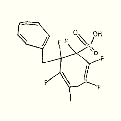 CC1=C(F)C(F)(Cc2ccccc2)C(F)(S(=O)(=O)O)C(F)=C1F